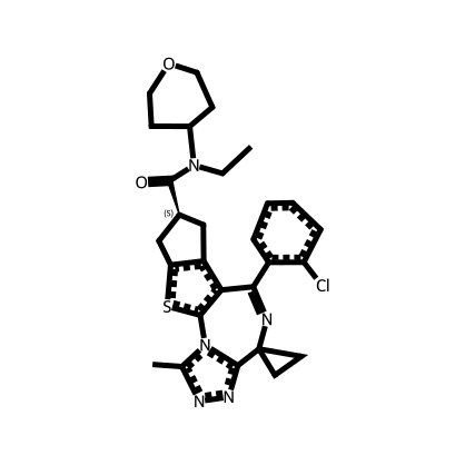 CCN(C(=O)[C@@H]1Cc2sc3c(c2C1)C(c1ccccc1Cl)=NC1(CC1)c1nnc(C)n1-3)C1CCOCC1